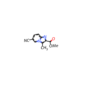 COC(=O)c1nc2ccc(C#N)cn2c1C